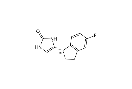 O=c1[nH]cc([C@H]2CCc3cc(F)ccc32)[nH]1